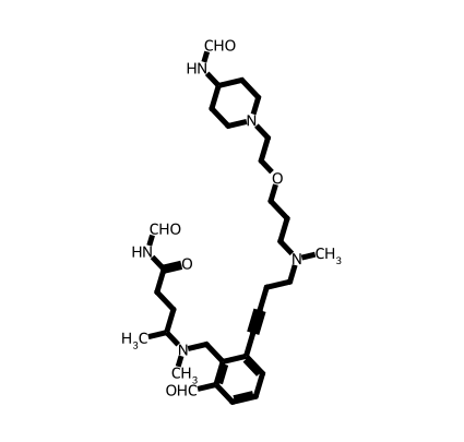 CC(CCC(=O)NC=O)N(C)Cc1c(C#CCCN(C)CCCOCCN2CCC(NC=O)CC2)cccc1C=O